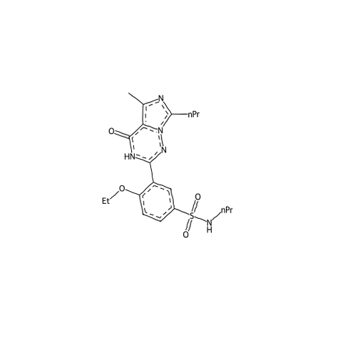 CCCNS(=O)(=O)c1ccc(OCC)c(-c2nn3c(CCC)nc(C)c3c(=O)[nH]2)c1